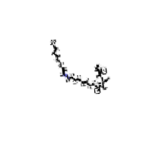 C=CC(=O)OC(C)N(C)C(=O)CCCCCCC/C=C\CCCCCCCC